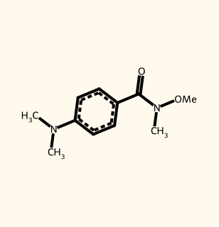 CON(C)C(=O)c1ccc(N(C)C)cc1